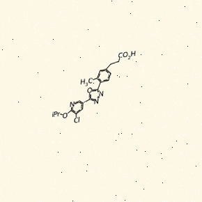 Cc1cc(CCC(=O)O)ccc1-c1nnc(-c2cnc(OC(C)C)c(Cl)c2)o1